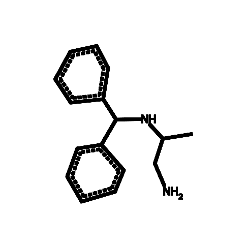 CC(CN)NC(c1ccccc1)c1ccccc1